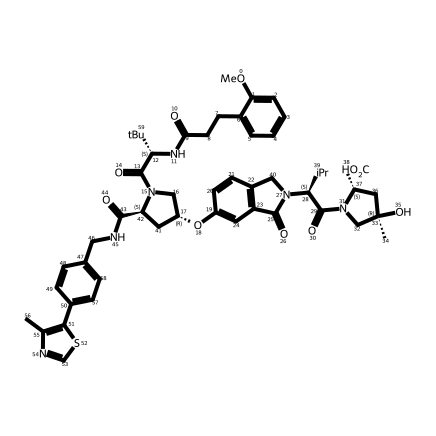 COc1ccccc1CCC(=O)N[C@H](C(=O)N1C[C@H](Oc2ccc3c(c2)C(=O)N([C@H](C(=O)N2C[C@](C)(O)C[C@H]2C(=O)O)C(C)C)C3)C[C@H]1C(=O)NCc1ccc(-c2scnc2C)cc1)C(C)(C)C